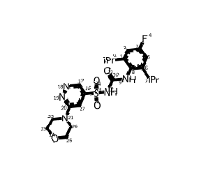 CC(C)c1cc(F)cc(C(C)C)c1NC(=O)NS(=O)(=O)c1cnnc(N2CCOCC2)c1